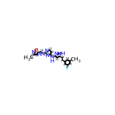 Cc1cc(F)cc(CCc2cc(Nc3ccnc(NCc4cc(C)no4)n3)n[nH]2)c1